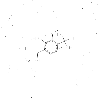 CCOc1c(C(C)(C)O)ccc([C@@H](C)N[S@@+]([O-])C(C)(C)C)c1C